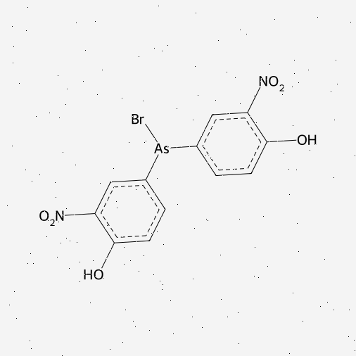 O=[N+]([O-])c1cc([As](Br)c2ccc(O)c([N+](=O)[O-])c2)ccc1O